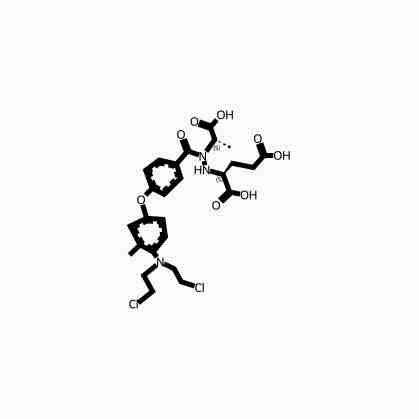 Cc1cc(Oc2ccc(C(=O)N(N[C@@H](CCC(=O)O)C(=O)O)[C@@H](C)C(=O)O)cc2)ccc1N(CCCl)CCCl